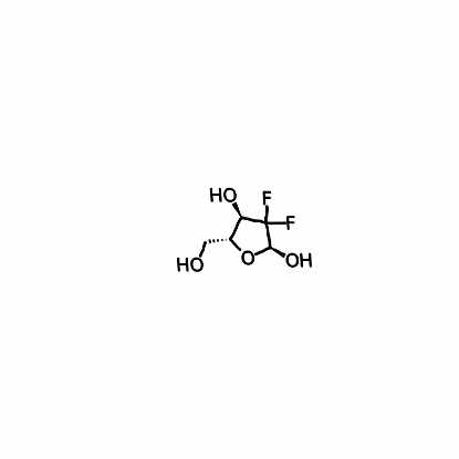 OC[C@H]1O[C@H](O)C(F)(F)[C@@H]1O